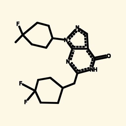 CC1(F)CCC(n2ncc3c(=O)[nH]c(CC4CCC(F)(F)CC4)nc32)CC1